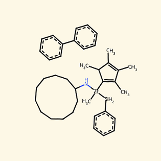 CC1=C(C)C(C)[C]([Zr]([CH3])([NH]C2CCCCCCCCCC2)[SiH2]c2ccccc2)=C1C.c1ccc(-c2ccccc2)cc1